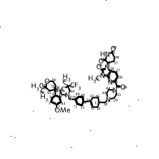 COc1ccc([C@]2(CCN(Cc3ccc(C4=CCC(CN5CCN(C(=O)c6ccc7c(n6)n(C)c(=O)n7C6CCC(=O)NC6=O)CC5)CC4)cc3)CC(C)(C)C(F)(F)F)CCOC(C)(C)C2)cc1